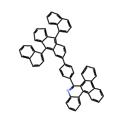 c1ccc2c(-c3c4ccccc4c(-c4cccc5ccccc45)c4cc(-c5ccc(-c6nc7ccccc7c7c8ccccc8c8ccccc8c67)cc5)ccc34)cccc2c1